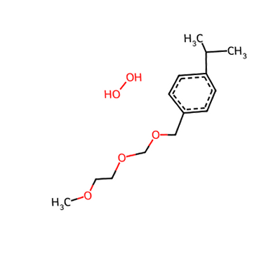 COCCOCOCc1ccc(C(C)C)cc1.OO